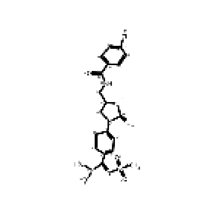 CN(C)/C(=N/S(C)(=O)=O)c1ccc(N2CC(CNC(=O)c3ccc(Cl)cc3)OC2=O)cc1